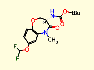 CN1C(=O)[C@@H](NC(=O)OC(C)(C)C)COc2ccc(OC(F)F)cc21